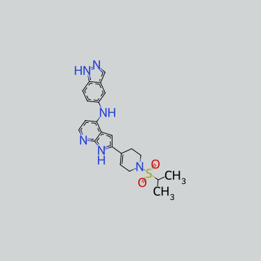 CC(C)S(=O)(=O)N1CC=C(c2cc3c(Nc4ccc5[nH]ncc5c4)ccnc3[nH]2)CC1